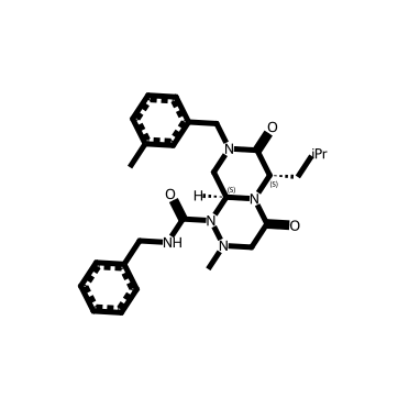 Cc1cccc(CN2C[C@H]3N(C(=O)CN(C)N3C(=O)NCc3ccccc3)[C@@H](CC(C)C)C2=O)c1